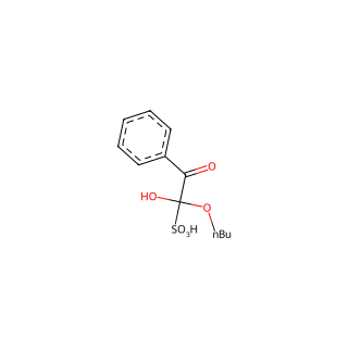 CCCCOC(O)(C(=O)c1ccccc1)S(=O)(=O)O